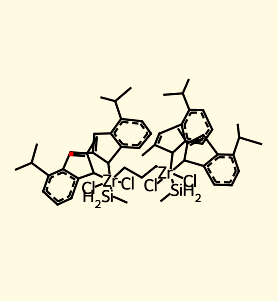 C[SiH2][Zr]([Cl])([Cl])([CH2]C[CH2][Zr]([Cl])([Cl])([SiH2]C)([CH]1C(C)=Cc2c(C(C)C)cccc21)[CH]1C(C)=Cc2c(C(C)C)cccc21)([CH]1C(C)=Cc2c(C(C)C)cccc21)[CH]1C(C)=Cc2c(C(C)C)cccc21